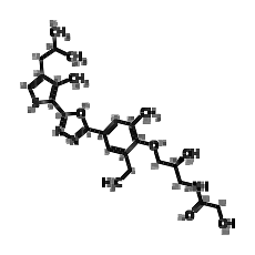 CCc1cc(-c2nnc(-c3scc(CC(C)C)c3C)o2)cc(C)c1OC[C@@H](O)CNC(=O)CO